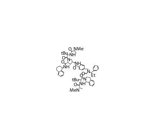 CC[C@H](c1ccccc1)N(Cc1ccc(C(=O)N[C@H]2C[C@@H](C(=O)N[C@@H]3CCCc4ccccc43)N(C(=O)[C@@H](NC(=O)[C@H](C)NC)C(C)(C)C)C2)cc1)C(=O)[C@@H]1Cc2ccccc2CN1C(=O)[C@@H](NC(=O)[C@H](C)NC)C(C)(C)C